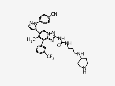 Cc1c(-c2ccnn2-c2ccc(C#N)cc2)cn2nc(NC(=O)NCCCNC3CCNCC3)nc2c1-c1cccc(C(F)(F)F)c1